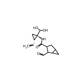 C=C[C@@H]1C[C@]1(NC(=O)C1CC2CC2C1C=O)I(O)O